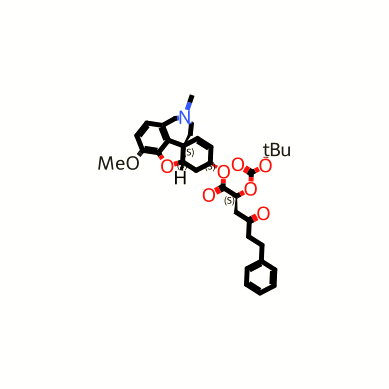 COc1ccc2c3c1O[C@H]1C[C@H](OC(=O)[C@H](CC(=O)CCc4ccccc4)OC(=O)OC(C)(C)C)C=C[C@@]31CCN(C)C2